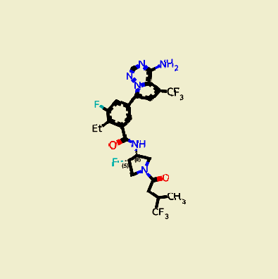 CCc1c(F)cc(-c2cc(C(F)(F)F)c3c(N)ncnn23)cc1C(=O)N[C@@H]1CN(C(=O)CC(C)C(F)(F)F)C[C@@H]1F